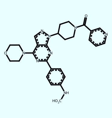 O=C(O)Nc1ccc(-c2nc(N3CCOCC3)c3cnn(C4CCN(C(=O)c5cccnc5)CC4)c3n2)cc1